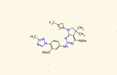 CNc1nc(Nc2ccc(-n3cnc(C)n3)c(OC)c2)nc2c1C(C)(C)CN2C12CC(C(F)(F)F)(C1)C2